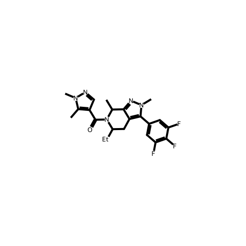 CCC1Cc2c(nn(C)c2-c2cc(F)c(F)c(F)c2)C(C)N1C(=O)c1cnn(C)c1C